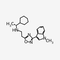 C[C@H](NCCc1nc(-c2cn(C)c3ccccc23)no1)C1CCCCC1